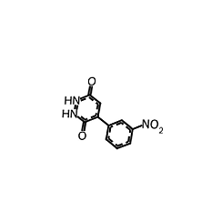 O=c1cc(-c2cccc([N+](=O)[O-])c2)c(=O)[nH][nH]1